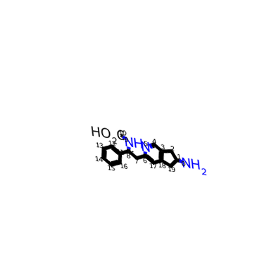 NC1Cc2cnc(C[C](NC(=O)O)c3ccccc3)cc2C1